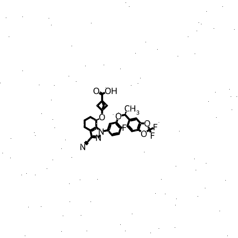 C[C@H](Oc1cc(-n2nc(C#N)c3c2[C@H](OC24CC(C(=O)O)(C2)C4)CCC3)ccc1F)c1ccc2c(c1)OC(F)(F)O2